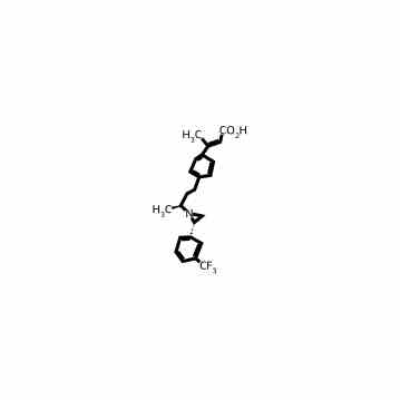 C/C(=C\C(=O)O)c1ccc(CC[C@H](C)N2C[C@@H]2c2cccc(C(F)(F)F)c2)cc1